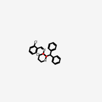 Clc1cccc(Cl)c1/C=N\C1C2CCN(CC2)C1C(c1ccccc1)c1ccccc1